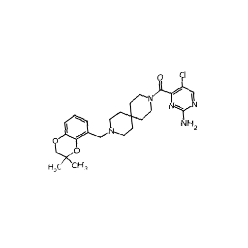 CC1(C)COc2cccc(CN3CCC4(CC3)CCN(C(=O)c3nc(N)ncc3Cl)CC4)c2O1